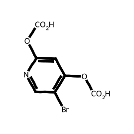 O=C(O)Oc1cc(OC(=O)O)c(Br)cn1